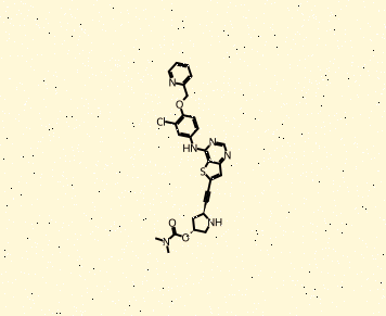 CN(C)C(=O)O[C@H]1CN[C@H](C#Cc2cc3ncnc(Nc4ccc(OCc5ccccn5)c(Cl)c4)c3s2)C1